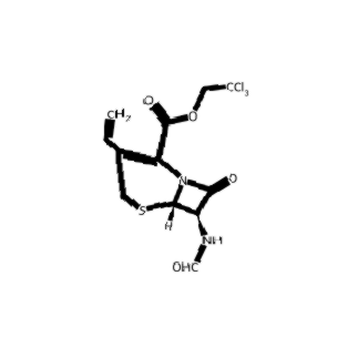 C=CC1=C(C(=O)OCC(Cl)(Cl)Cl)N2C(=O)[C@@H](NC=O)[C@@H]2SC1